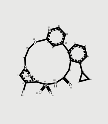 O=C1Cc2c(cccc2C2CC2)-c2ccnc(c2)OCCn2cc(F)c(n2)S(=O)(=O)N1